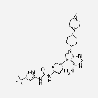 CN1CCN([C@H]2CC[C@H](n3cc(-c4ccc(NC(=O)Nc5cc(C(C)(C)C)on5)cc4)c4c(N)ncnc43)CC2)CC1